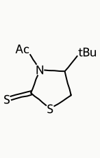 CC(=O)N1C(=S)SCC1C(C)(C)C